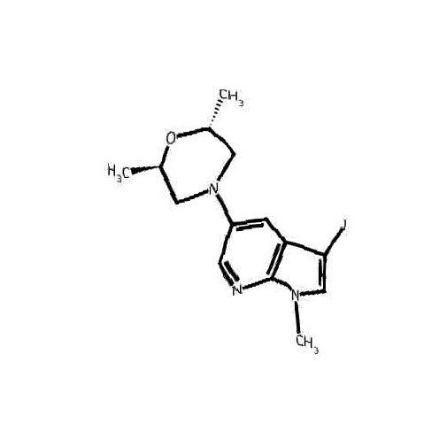 C[C@@H]1CN(c2cnc3c(c2)c(I)cn3C)C[C@@H](C)O1